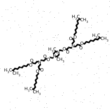 CC(C)CCCCCCCOC(=O)CCN(CCC(=O)OCCCCCCCC(C)C)CCC(=O)OCCN1CC(C)N(CCOC(=O)CCN(CCC(=O)OCCCCCCCC(C)C)CCC(=O)OCCCCCCCC(C)C)CC1C